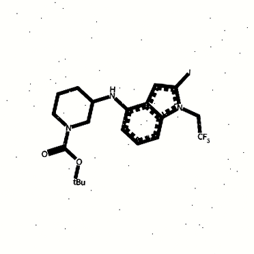 CC(C)(C)OC(=O)N1CCCC(Nc2cccc3c2cc(I)n3CC(F)(F)F)C1